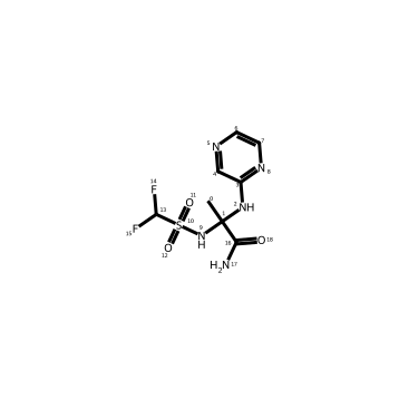 CC(Nc1cnccn1)(NS(=O)(=O)C(F)F)C(N)=O